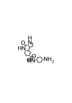 Nc1ccc(NS(=O)(=O)c2ccc3[nH]c(=O)c4[nH]ccc4c3c2)cc1